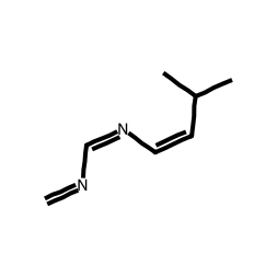 C=N/C=N\C=C/C(C)C